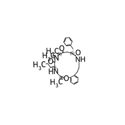 CCC[C@@H]1NC[C@@H](C)Oc2ccccc2CCCNC(=O)[C@@H](Cc2ccccc2)CC(=O)[C@@H](C)N(C)C1=O